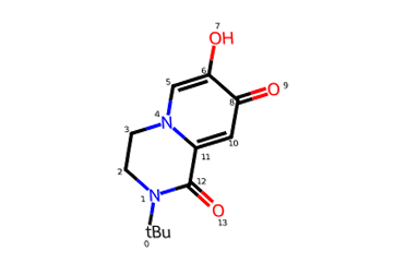 CC(C)(C)N1CCn2cc(O)c(=O)cc2C1=O